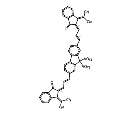 CCCCCCCCC1(CCCCCCCC)c2cc(/C=C/C=C3\C(=O)c4ccccc4C3=C(C#N)C#N)ccc2-c2ccc(/C=C/C=C3\C(=O)c4ccccc4C3=C(C#N)C#N)cc21